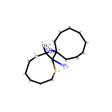 CC1(C)CCCCCCSC1(N)C1(N)CCCCCCCC1